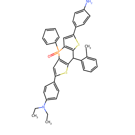 CCN(CC)c1ccc(-c2cc3c(s2)C(c2ccccc2C)c2sc(-c4ccc(N)cc4)cc2P3(=O)c2ccccc2)cc1